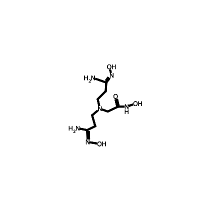 N/C(CCN(CC/C(N)=N\O)CC(=O)NO)=N\O